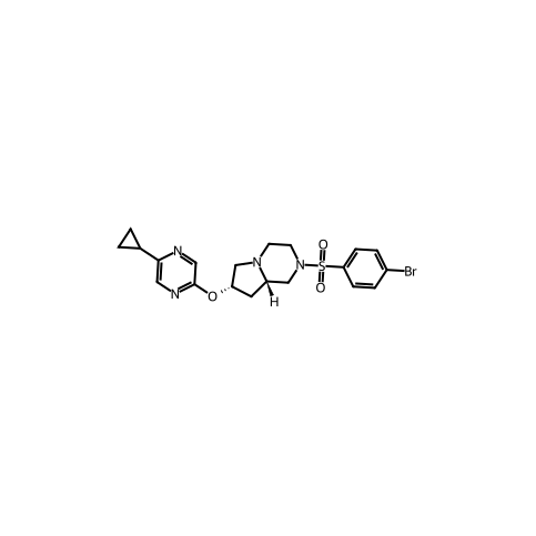 O=S(=O)(c1ccc(Br)cc1)N1CCN2C[C@@H](Oc3cnc(C4CC4)cn3)C[C@H]2C1